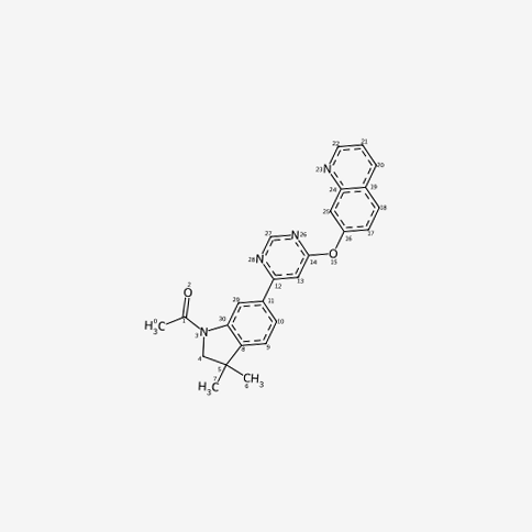 CC(=O)N1CC(C)(C)c2ccc(-c3cc(Oc4ccc5cccnc5c4)ncn3)cc21